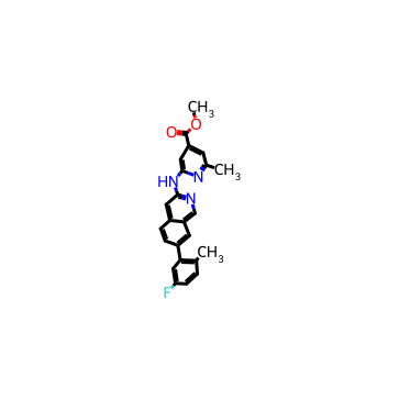 COC(=O)c1cc(C)nc(Nc2cc3ccc(-c4cc(F)ccc4C)cc3cn2)c1